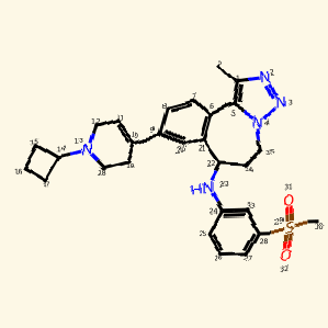 Cc1nnn2c1-c1ccc(C3=CCN(C4CCC4)CC3)cc1C(Nc1cccc(S(C)(=O)=O)c1)CC2